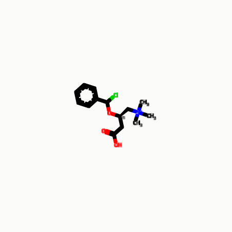 C[N+](C)(C)C[C@@H](CC(=O)O)OC(Cl)c1ccccc1